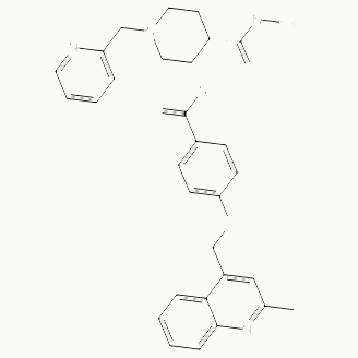 Cc1cc(COc2ccc(C(=O)N[C@@H]3CN(Cc4ccccn4)CC[C@@H]3C(=O)NO)cc2)c2ccccc2n1